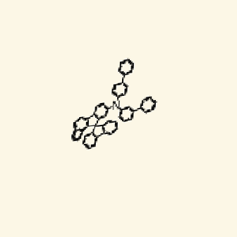 c1ccc(-c2ccc(N(c3cccc(-c4ccccc4)c3)c3ccc4c(c3)C3(c5ccccc5-c5ccccc53)c3c-4ccc4ccccc34)cc2)cc1